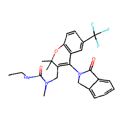 CCNC(=O)N(C)CC1=C(N2Cc3ccccc3C2=O)c2cc(C(F)(F)F)ccc2OC1(C)C